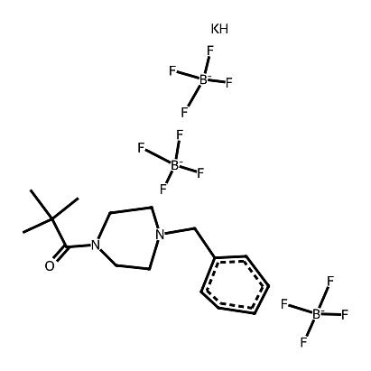 CC(C)(C)C(=O)N1CCN(Cc2ccccc2)CC1.F[B-](F)(F)F.F[B-](F)(F)F.F[B-](F)(F)F.[KH]